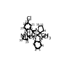 CN1c2ccccc2N(Cl)C1(C)C1(C)CCCN1C(=O)c1cc(Cl)ccc1-n1nccn1